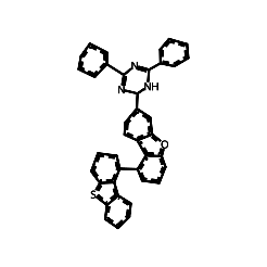 c1ccc(C2=NC(c3ccc4c(c3)oc3cccc(-c5cccc6sc7ccccc7c56)c34)NC(c3ccccc3)=N2)cc1